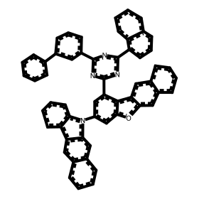 c1ccc(-c2cccc(-c3nc(-c4cccc5ccccc45)nc(-c4cc(-n5c6ccccc6c6cc7ccccc7cc65)cc5oc6cc7ccccc7cc6c45)n3)c2)cc1